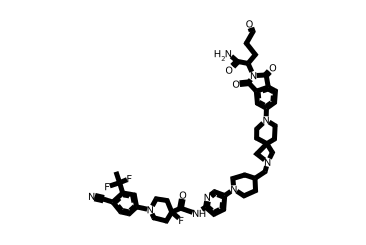 CC(F)(F)c1cc(N2CCC(F)(C(=O)Nc3ccc(N4CCC(CN5CC6(CCN(c7ccc8c(c7)C(=O)N(C(CCC=O)C(N)=O)C8=O)CC6)C5)CC4)cn3)CC2)ccc1C#N